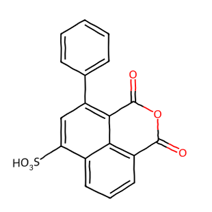 O=C1OC(=O)c2c(-c3ccccc3)cc(S(=O)(=O)O)c3cccc1c23